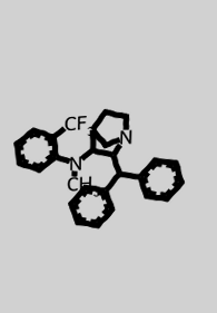 CN(c1ccccc1C(F)(F)F)C1C2CCN(C2)C1C(c1ccccc1)c1ccccc1